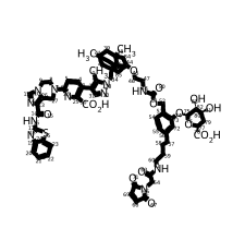 Cc1c(-c2ccc(N3CCn4cnc(C(=O)Nc5nc6ccccc6s5)c4C3)nc2C(=O)O)cnn1CC12CC3(C)CC(C)(C1)CC(OCCNC(=O)OCc1ccc(CCCCNC(=O)CN4C(=O)C=CC4=O)cc1O[C@@H]1O[C@H](C(=O)O)C[C@H](O)[C@H]1O)(C3)C2